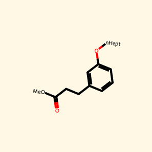 CCCCCCCOc1cccc(CCC(=O)OC)c1